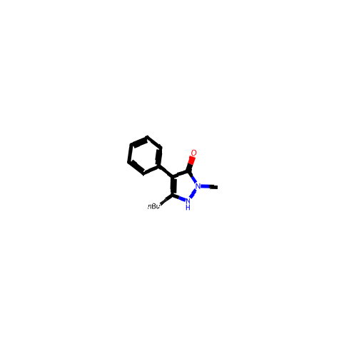 CCCCc1[nH]n(C)c(=O)c1-c1ccccc1